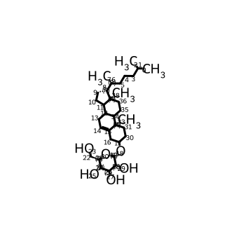 CC(C)CCC[C@@H](C)[C@H]1CCC2C3CC=C4CC(O[C@H]5O[C@H](CO)[C@H](O)[C@H](O)[C@H]5O)CC[C@]4(C)C3CC[C@@]21C